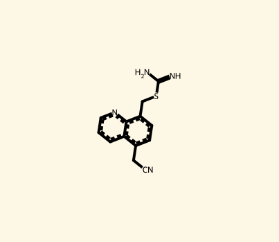 N#CCc1ccc(CSC(=N)N)c2ncccc12